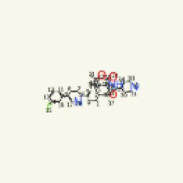 CC[C@H]1[C@H](/C=C/c2ccc(-c3cccc(F)c3)cn2)[C@@H]2[C@@H](C)OC(=O)[C@]2(NC(=O)c2ccncc2)C[C@@H]1C